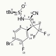 CC(C)(C)[S@@+]([O-])N[C@@H](C#N)[C@]1(c2ccc(Br)c(F)c2)CC1(F)F